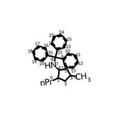 CCCC1CC(C)CC1NC(c1ccccc1)(c1ccccc1)c1ccccc1